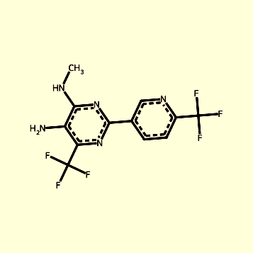 CNc1nc(-c2ccc(C(F)(F)F)nc2)nc(C(F)(F)F)c1N